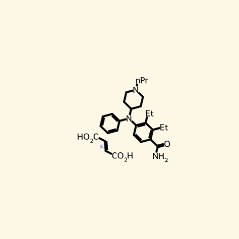 CCCN1CCC(N(c2ccccc2)c2ccc(C(N)=O)c(CC)c2CC)CC1.O=C(O)/C=C/C(=O)O